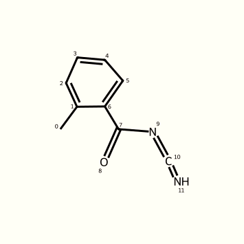 Cc1ccccc1C(=O)N=C=N